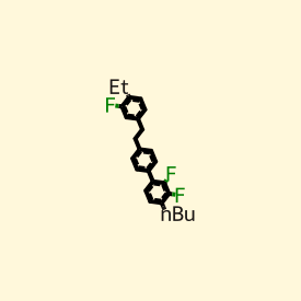 CCCCc1ccc(-c2ccc(CCc3ccc(CC)c(F)c3)cc2)c(F)c1F